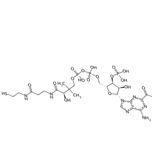 CC(=O)c1nc(N)c2ncn([C@@H]3O[C@H](COP(=O)(O)OP(=O)(O)OCC(C)(C)[C@@H](O)C(=O)NCCC(=O)NCCS)[C@@H](OP(=O)(O)O)[C@H]3O)c2n1